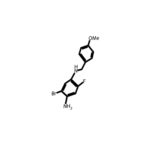 COc1ccc(CNc2cc(Br)c(N)cc2F)cc1